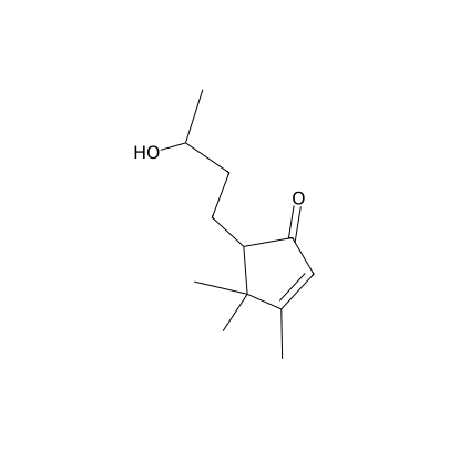 CC1=CC(=O)C(CCC(C)O)C1(C)C